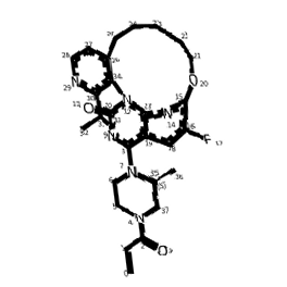 C=CC(=O)N1CCN(c2nc(=O)n3c4nc(c(F)cc24)OCCCCCc2ccnc(C(C)C)c2-3)[C@@H](C)C1